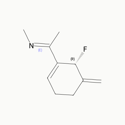 C=C1CCC=C(/C(C)=N/C)[C@@H]1F